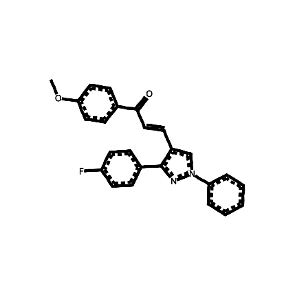 COc1ccc(C(=O)C=Cc2cn(-c3ccccc3)nc2-c2ccc(F)cc2)cc1